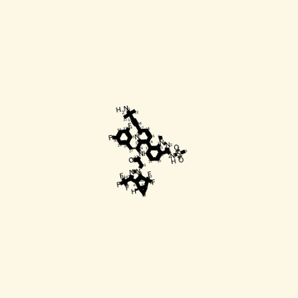 Cn1nc(NS(C)(=O)=O)c2cccc(-c3ccc(C#CC(C)(C)N)nc3[C@H](Cc3cc(F)cc(F)c3)NC(=O)Cn3nc(C(F)(F)F)c4c3C(F)(F)C3C[C@H]43)c21